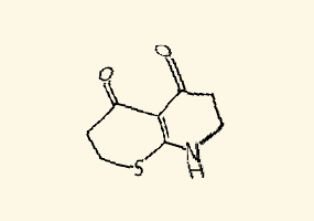 O=C1CCNC2=C1C(=O)CCS2